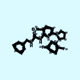 O=C(NCc1ccccc1)Nc1nc(N2CCC[C@@H]2c2cc(F)ccc2F)ccc1[N+](=O)[O-]